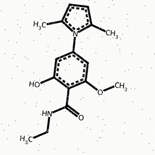 CCNC(=O)c1c(O)cc(-n2c(C)ccc2C)cc1OC